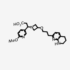 COc1ccc(C(CC(=O)O)N2CC(OCCCc3ccc4c(n3)NCCC4)C2)cn1